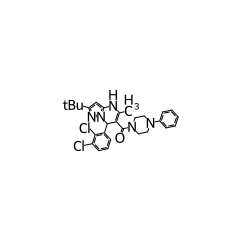 CC1=C(C(=O)N2CCN(c3ccccc3)CC2)C(c2cccc(Cl)c2Cl)n2nc(C(C)(C)C)cc2N1